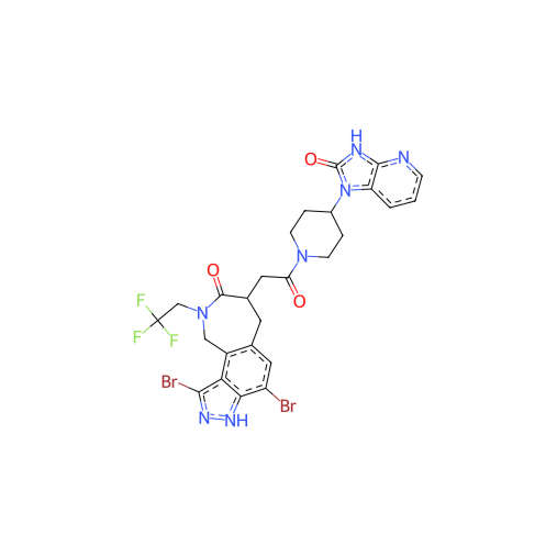 O=C(CC1Cc2cc(Br)c3[nH]nc(Br)c3c2CN(CC(F)(F)F)C1=O)N1CCC(n2c(=O)[nH]c3ncccc32)CC1